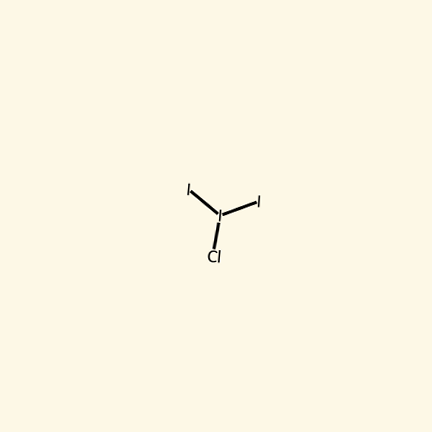 ClI(I)I